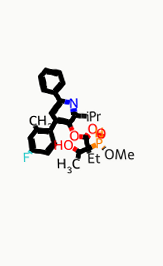 CCC(C(=O)Oc1c(-c2ccc(F)cc2C)cc(-c2ccccc2)nc1C(C)C)(C(C)O)[PH](=O)OC